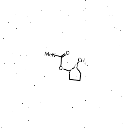 CNC(=O)O[C]1CCCN1C